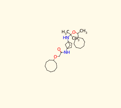 CC(OC(C)(C)NC12CCC(NC(=O)COC3CCCCCCCC3)(C1)C2)C1CCCCCCC1